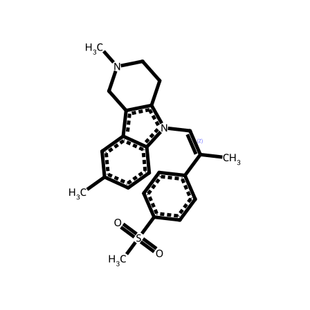 C/C(=C/n1c2c(c3cc(C)ccc31)CN(C)CC2)c1ccc(S(C)(=O)=O)cc1